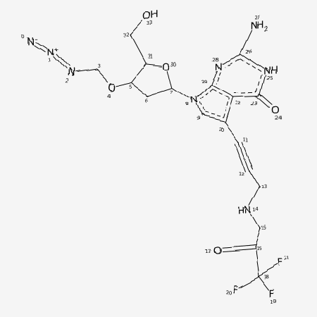 [N-]=[N+]=NCOC1CC(n2cc(C#CCNCC(=O)C(F)(F)F)c3c(=O)[nH]c(N)nc32)OC1CO